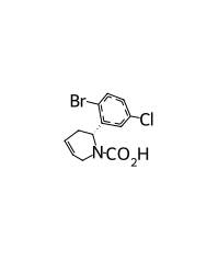 O=C(O)N1CC=CC[C@@H]1c1cc(Cl)ccc1Br